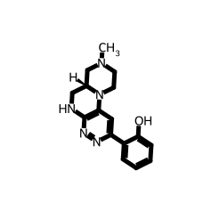 CN1CCN2c3cc(-c4ccccc4O)nnc3NC[C@@H]2C1